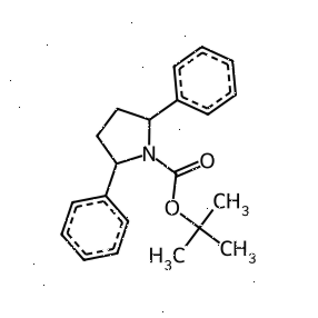 CC(C)(C)OC(=O)N1C(c2ccccc2)CCC1c1ccccc1